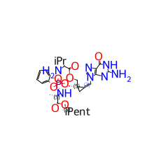 CCC[C@H](C)OC(=O)[C@H](C)NP(=O)(OC[C@@]1(COC(=O)C(N)C(C)C)C/C1=C/n1cnc2c(=O)[nH]c(N)nc21)Oc1ccccc1